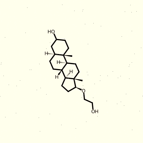 C[C@]12CCC(O)C[C@@H]1CC[C@@H]1[C@@H]2CC[C@]2(C)[C@@H](OCCO)CC[C@@H]12